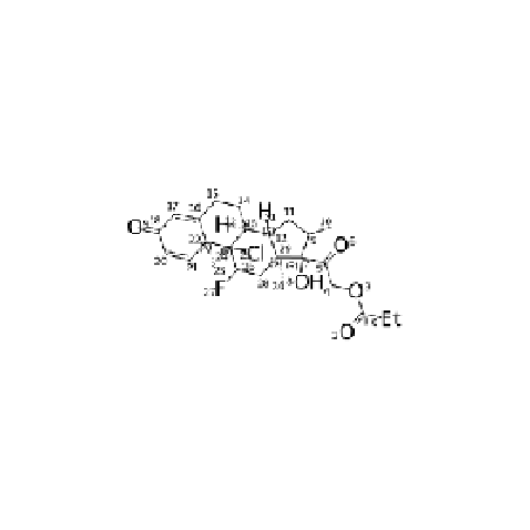 CCC(=O)OCC(=O)[C@@]1(O)C(C)C[C@H]2[C@@H]3CCC4=CC(=O)C=C[C@]4(C)[C@@]3(Cl)C(F)C[C@@]21C